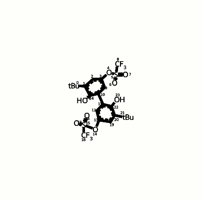 CC(C)(C)c1cc(OS(=O)(=O)C(F)(F)F)cc(-c2cc(OS(=O)(=O)C(F)(F)F)cc(C(C)(C)C)c2O)c1O